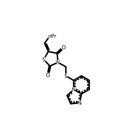 CCCC=C1SC(=O)N(CSc2cccc3nccn23)C1=O